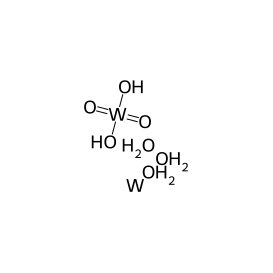 O.O.O.[O]=[W](=[O])([OH])[OH].[W]